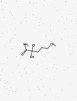 CCCCC(O)(Cl)C(N)=O